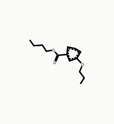 CCCCOC(=O)c1cccc(OCCC)c1